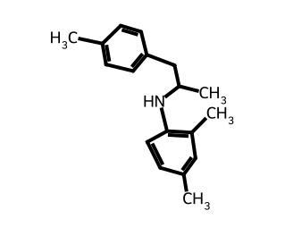 Cc1ccc(CC(C)Nc2ccc(C)cc2C)cc1